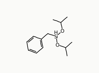 CC(C)O[SiH](Cc1ccccc1)OC(C)C